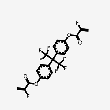 C=C(F)C(=O)Oc1ccc(C(c2ccc(OC(=O)C(=C)F)cc2)(C(F)(F)F)C(F)(F)F)cc1